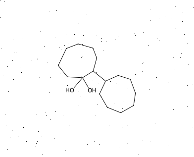 OC1(O)CCCCCCC1C1CCCCCCC1